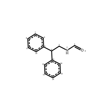 O=[C]NCC(c1ccccc1)c1ccccc1